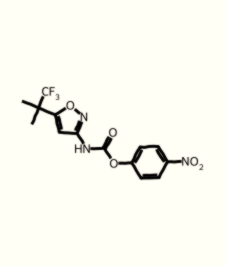 CC(C)(c1cc(NC(=O)Oc2ccc([N+](=O)[O-])cc2)no1)C(F)(F)F